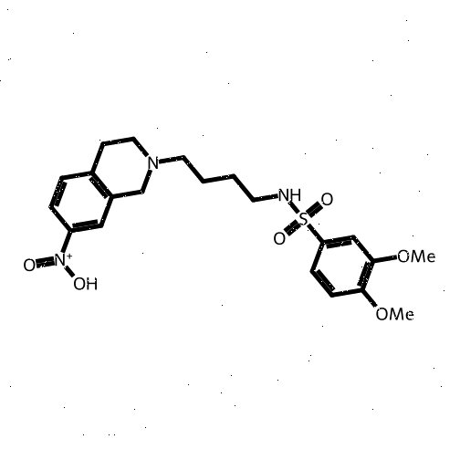 COc1ccc(S(=O)(=O)NCCCCN2CCc3ccc([N+](=O)O)cc3C2)cc1OC